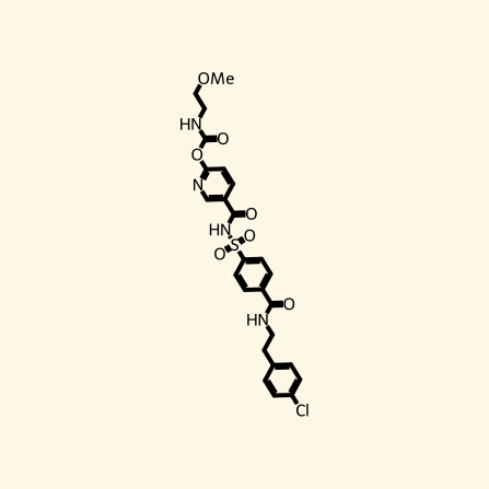 COCCNC(=O)Oc1ccc(C(=O)NS(=O)(=O)c2ccc(C(=O)NCCc3ccc(Cl)cc3)cc2)cn1